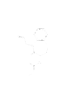 C=CCN1C(=O)[C@@H](NC(=O)OC(C)(C)C)COc2ccccc21